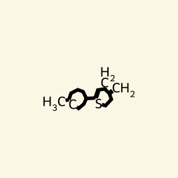 C=C1C=C(C2CCCC(C)CCC2)SCCC1=C